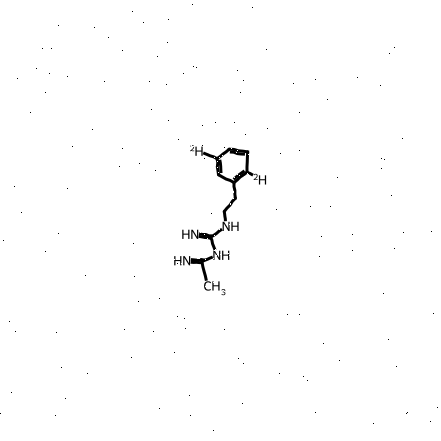 [2H]c1ccc([2H])c(CCNC(=N)NC(C)=N)c1